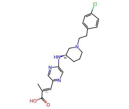 C/C(=C\c1cnc(N[C@@H]2CCCN(CCc3ccc(Cl)cc3)C2)cn1)C(=O)O